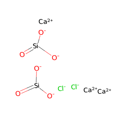 O=[Si]([O-])[O-].O=[Si]([O-])[O-].[Ca+2].[Ca+2].[Ca+2].[Cl-].[Cl-]